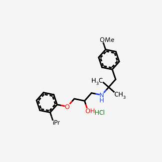 COc1ccc(CC(C)(C)NCC(O)COc2ccccc2C(C)C)cc1.Cl